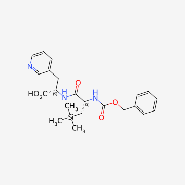 C[Si](C)(C)C[C@@H](NC(=O)OCc1ccccc1)C(=O)N[C@@H](Cc1cccnc1)C(=O)O